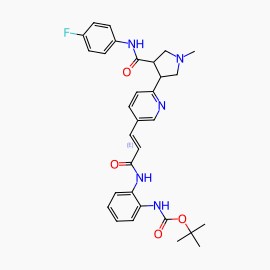 CN1CC(C(=O)Nc2ccc(F)cc2)C(c2ccc(/C=C/C(=O)Nc3ccccc3NC(=O)OC(C)(C)C)cn2)C1